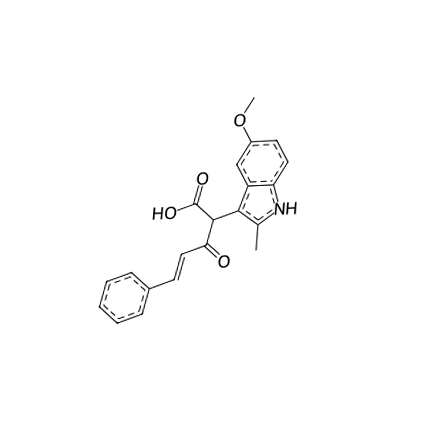 COc1ccc2[nH]c(C)c(C(C(=O)O)C(=O)/C=C/c3ccccc3)c2c1